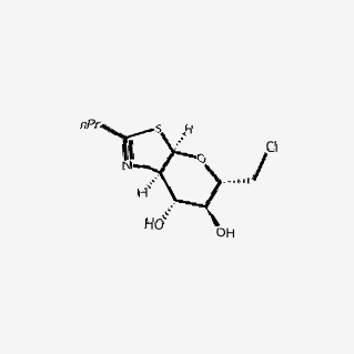 CCCC1=N[C@@H]2[C@@H](O)[C@H](O)[C@@H](CCl)O[C@@H]2S1